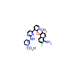 Cc1ccc2c(N)c(F)ccc2c1Oc1ncccc1-c1ccnc(N[C@H]2CCCN(C(=O)O)C2)n1